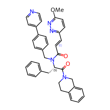 COc1ccc(/C=C/C(=O)N(Cc2ccc(-c3ccncc3)cc2)[C@@H](Cc2ccccc2)C(=O)N2CCc3ccccc3C2)nn1